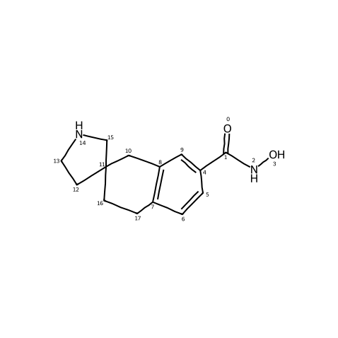 O=C(NO)c1ccc2c(c1)CC1(CCNC1)CC2